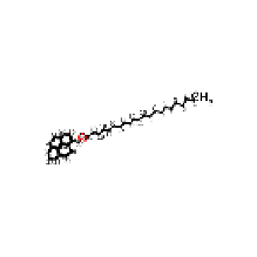 CCCCCCCCCCCCCCCCCCCCCCOCc1ccc2ccc3cccc4ccc1c2c34